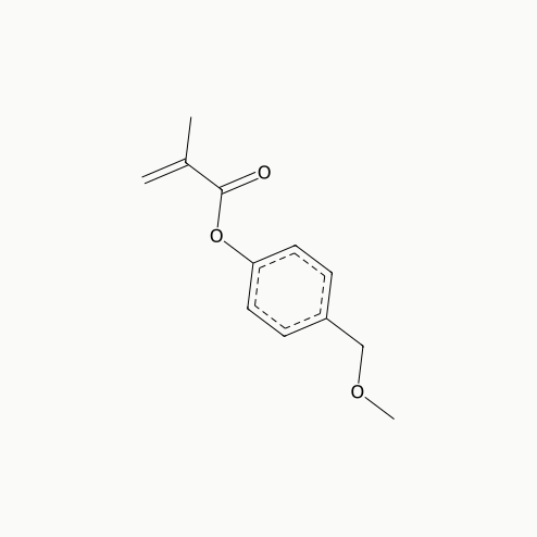 C=C(C)C(=O)Oc1ccc(COC)cc1